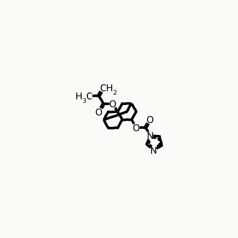 C=C(C)C(=O)OC12CC3CCC1C(OC(=O)n1ccnc1)CC(C3)C2